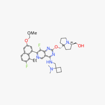 CCc1c(F)ccc2cc(OCOC)cc(-c3ncc4c(NCC5(N(C)C)CCC5)nc(OC[C@]56CCCN5[C@@H](CO)CC6)nc4c3F)c12